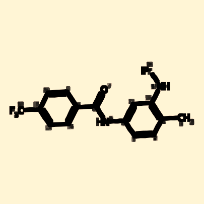 Cc1ccc(NC(=O)c2ccc(C(F)(F)F)cc2)cc1NC(C)C